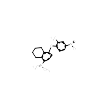 Cc1cc([N+](=O)[O-])ccc1Oc1ccc(N(C)C)c2c1CCCC2